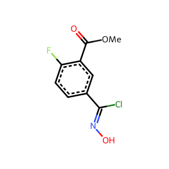 COC(=O)c1cc(C(Cl)=NO)ccc1F